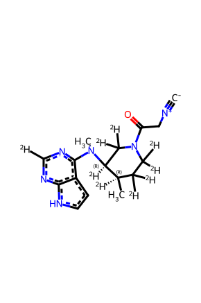 [2H]c1nc(N(C)[C@@]2([2H])C([2H])([2H])N(C(=O)C[N+]#[C-])C([2H])([2H])C([2H])([2H])[C@@]2([2H])C)c2cc[nH]c2n1